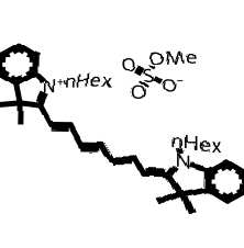 CCCCCCN1C(=CC=CC=CC=CC2=[N+](CCCCCC)c3ccccc3C2(C)C)C(C)(C)c2ccccc21.COS(=O)(=O)[O-]